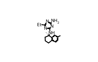 CCc1nc(N)nc(N[C@]2(C)CCCc3ccc(C)cc32)n1